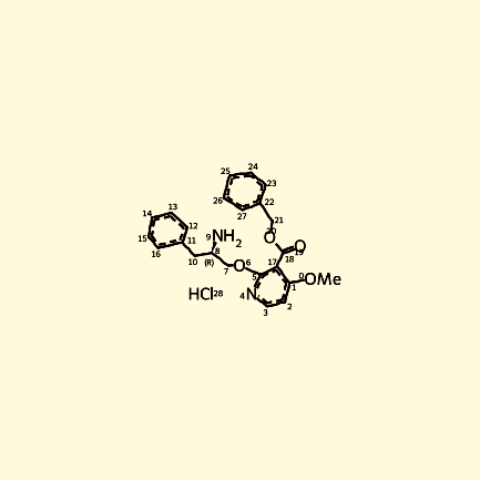 COc1ccnc(OC[C@H](N)Cc2ccccc2)c1C(=O)OCc1ccccc1.Cl